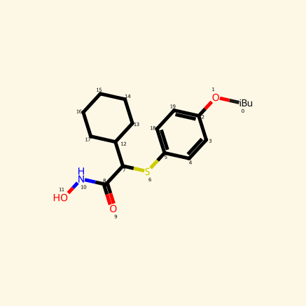 CCC(C)Oc1ccc(SC(C(=O)NO)C2CCCCC2)cc1